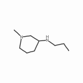 CCCNC1CCCN(C)C1